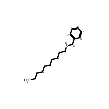 CCCCCCCCCCSCc1ccccc1